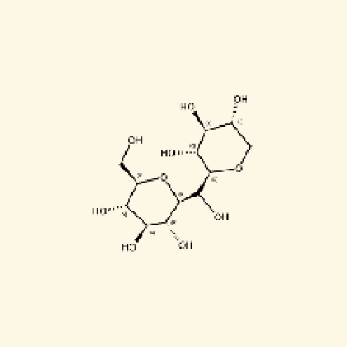 OC[C@H]1O[C@@H](C(O)[C@@H]2O[CH][C@@H](O)[C@H](O)[C@H]2O)[C@H](O)[C@@H](O)[C@@H]1O